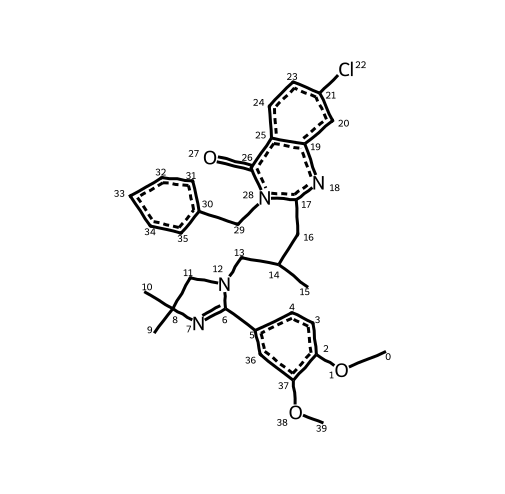 COc1ccc(C2=NC(C)(C)CN2CC(C)Cc2nc3cc(Cl)ccc3c(=O)n2Cc2ccccc2)cc1OC